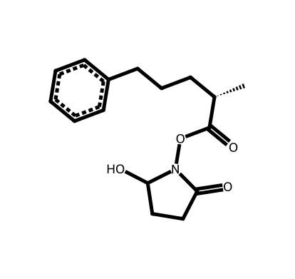 C[C@@H](CCCc1ccccc1)C(=O)ON1C(=O)CCC1O